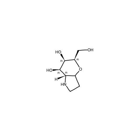 OC[C@H]1OC2CCN[C@@H]2[C@@H](O)[C@H]1O